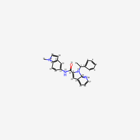 CC(c1ccccc1)n1c(C(=O)Nc2ccc3c(ccn3C)c2)cc2cccnc21